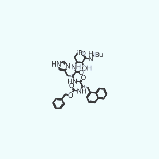 CCC(C)NC(=O)C(O)C(CC(C)C)NC(=O)[C@H](Cc1c[nH]cn1)NC(=O)[C@H](Cc1cccc2ccccc12)NC(=O)OCc1ccccc1